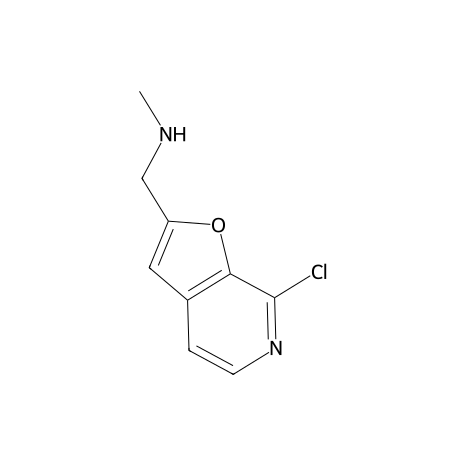 CNCc1cc2ccnc(Cl)c2o1